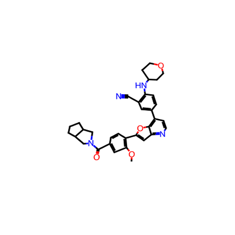 COc1cc(C(=O)N2CC3CCCC3C2)ccc1-c1cc2nccc(-c3ccc(NC4CCOCC4)c(C#N)c3)c2o1